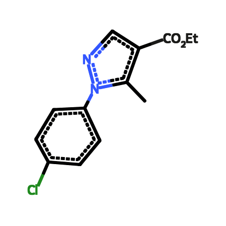 CCOC(=O)c1cnn(-c2ccc(Cl)cc2)c1C